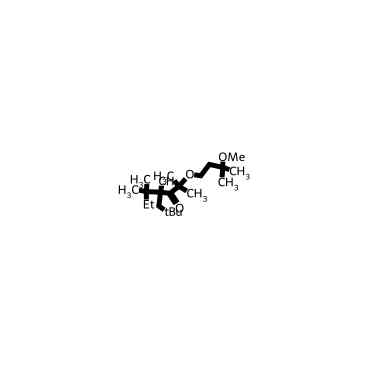 CCC(C)(C)C(C)(CC(C)(C)C)C(=O)C(C)(C)OCCC(C)(C)OC